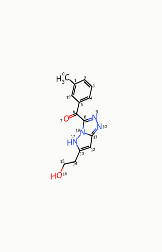 Cc1cccc(C(=O)c2nnc3cc(CCO)[nH]n23)c1